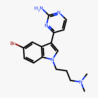 CN(C)CCCn1cc(-c2ccnc(N)n2)c2cc(Br)ccc21